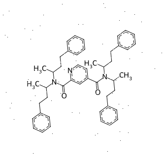 CC(CCc1ccccc1)N(C(=O)c1ccnc(C(=O)N(C(C)CCc2ccccc2)C(C)CCc2ccccc2)c1)C(C)CCc1ccccc1